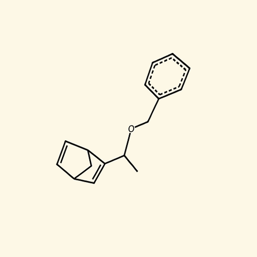 CC(OCc1ccccc1)C1=CC2C=CC1C2